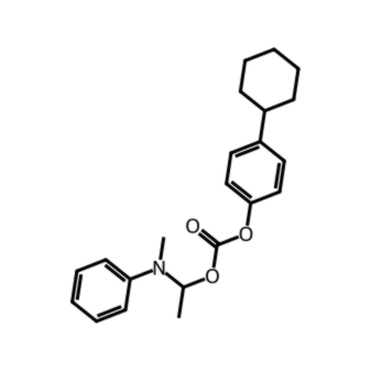 CC(OC(=O)Oc1ccc(C2CCCCC2)cc1)N(C)c1ccccc1